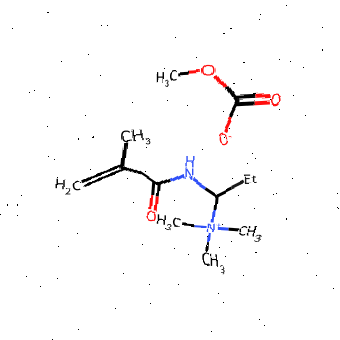 C=C(C)C(=O)NC(CC)[N+](C)(C)C.COC(=O)[O-]